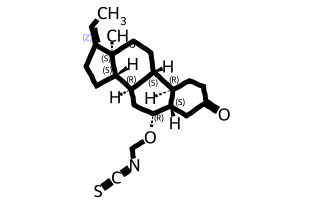 C/C=C1/CC[C@H]2[C@@H]3C[C@@H](OCN=C=S)[C@H]4CC(=O)CC[C@@H]4[C@H]3CC[C@]12C